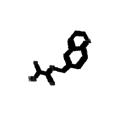 O=C(O)C(=O)OCc1ccc2ncccc2c1